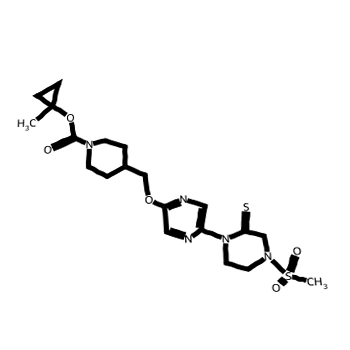 CC1(OC(=O)N2CCC(COc3cnc(N4CCN(S(C)(=O)=O)CC4=S)cn3)CC2)CC1